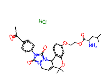 CC(=O)c1ccc(-n2c(=O)n3n(c2=O)C2C(=CC3)C(C)(C)Oc3cc(OCCOC(=O)[C@@H](N)CC(C)C)ccc32)cc1.Cl